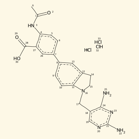 CC(=O)Nc1ccc(-c2ccc3c(c2)CCN3Cc2cnc(N)nc2N)cc1C(=O)O.Cl.Cl.Cl